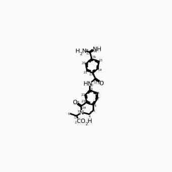 CC(C(=O)O)N1CCc2ccc(NC(=O)c3ccc(C(=N)N)cc3)cc2C1=O